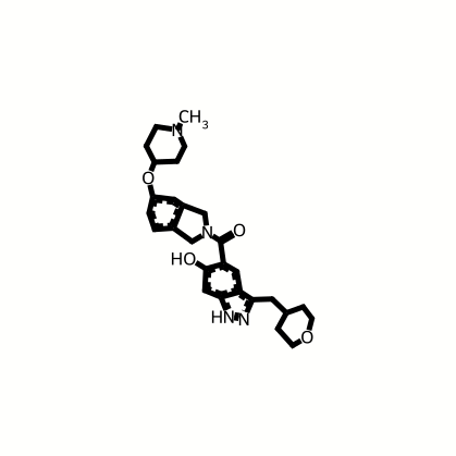 CN1CCC(Oc2ccc3c(c2)CN(C(=O)c2cc4c(CC5CCOCC5)n[nH]c4cc2O)C3)CC1